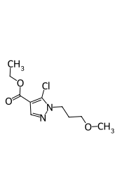 CCOC(=O)c1cnn(CCCOC)c1Cl